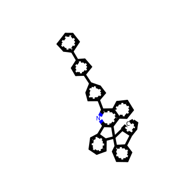 c1ccc(-c2ccc(-c3ccc(-c4nc5c(c6ccccc46)C4(c6ccccc6-c6ccccc64)c4ccccc4-5)cc3)cc2)cc1